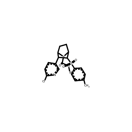 Cc1ccc(S(=O)(=O)C2C(c3ccc(Cl)nc3)C3CCC2N3C(=O)OC(C)(C)C)cc1